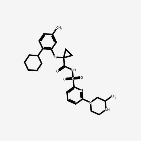 Cc1ccc(C2CCCCC2)c(OC2(C(=O)NS(=O)(=O)c3cccc(N4CCNC(C(F)(F)F)C4)n3)CC2)c1